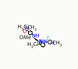 C=Cc1c2cccc(N[C@@H]3CCN(C)C[C@@H]3F)c2nn1C#CCNc1ccc(C(=O)N(C)C)cc1OC